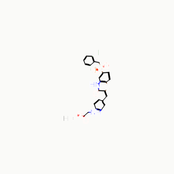 COC(=O)CNc1ccc(/C=C2/Sc3ccc(S(=O)(=O)Cc4c(Cl)cccc4Cl)cc3NC2=O)cc1